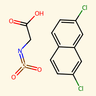 Clc1ccc2ccc(Cl)cc2c1.O=C(O)CN=S(=O)=O